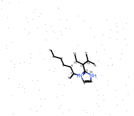 CCCCCC(C)[n+]1cc[nH]c1C(CC)C(C)C